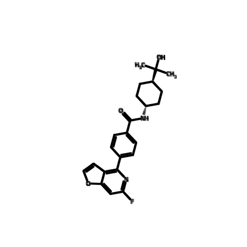 CC(C)(O)[C@H]1CC[C@H](NC(=O)c2ccc(-c3nc(F)cc4occc34)cc2)CC1